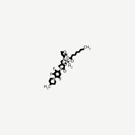 C=C1C=CN(c2c(F)cc(N3CC(CN(c4ccon4)P(=C)(O)OC(=O)CCCCCCC)CC3=O)c(F)c2F)CC1